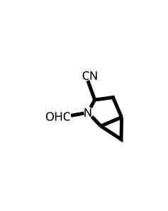 N#CC1CC2CC2N1C=O